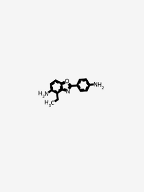 CCc1c(N)ccc2oc(-c3ccc(N)cc3)nc12